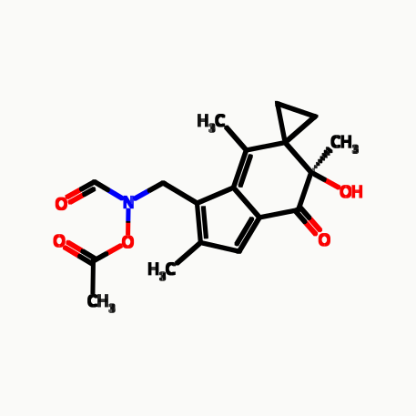 CC(=O)ON(C=O)CC1=C(C)C=C2C(=O)[C@](C)(O)C3(CC3)C(C)=C21